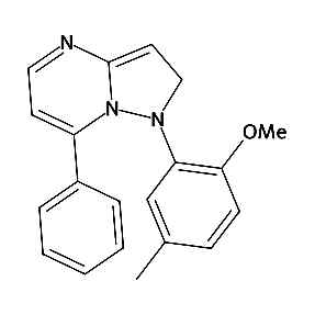 COc1ccc(C)cc1N1CC=C2N=CC=C(c3ccccc3)N21